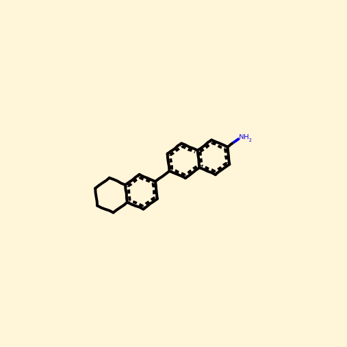 Nc1ccc2cc(-c3ccc4c(c3)CCCC4)ccc2c1